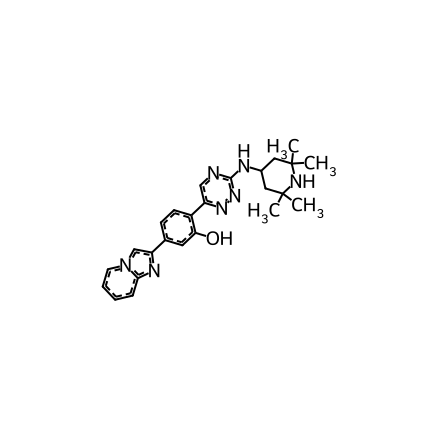 CC1(C)CC(Nc2ncc(-c3ccc(-c4cn5ccccc5n4)cc3O)nn2)CC(C)(C)N1